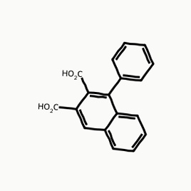 O=C(O)c1cc2ccccc2c(-c2ccccc2)c1C(=O)O